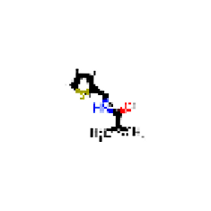 CC(C)C(=O)NCc1cccs1